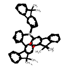 CC1(C)c2ccccc2-c2cc(N(c3ccc4c(c3)-c3ccccc3C4(C)C)c3ccccc3-c3cccc4c3-c3ccccc3C4(C)C)ccc21